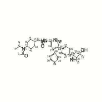 CC(=O)N(C(C)C)C1CCC(CC(=O)Nc2cc(-c3ccccc3)c(-c3ccc(C4(N)CC(C)(O)C4)cc3)nn2)CC1